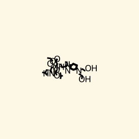 CCOC(=O)[C@H](CCc1nc2cc(N(CCO)CCO)ccc2n1C)NC(=O)[C@H](CC(C)C)NC(=O)OC(C)(C)C